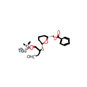 CC(C)(C)[Si](C)(C)OCC(CC=O)S[C@@H]1CCC[C@H](COC(=O)c2ccccc2)O1